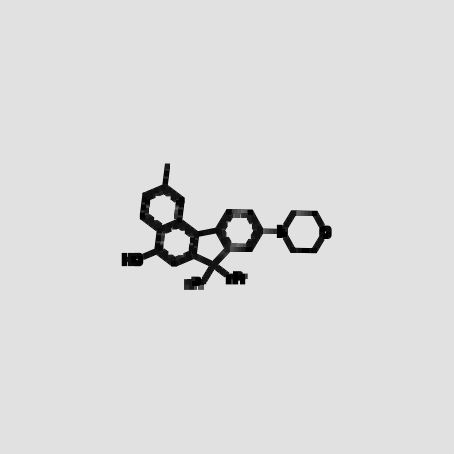 CCCC1(CCC)c2cc(N3CCOCC3)ccc2-c2c1cc(O)c1ccc(C)cc21